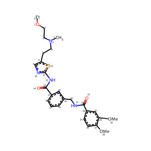 CCOCCN(C)CCc1cnc(NC(=O)c2cccc(CNC(=O)c3ccc(OC)c(OC)c3)c2)s1